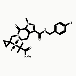 CNC(=O)C(C)(C)S(=O)(=O)C1(CN2CCc3c(C(=O)NCc4ccc(Cl)cc4)nn(C)c3C2=O)CC1